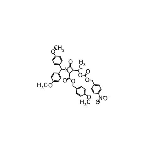 COc1ccc(COC(=O)C2C(C(C)OC(=O)OCc3ccc([N+](=O)[O-])cc3)C(=O)N2C(c2ccc(OC)cc2)c2ccc(OC)cc2)cc1